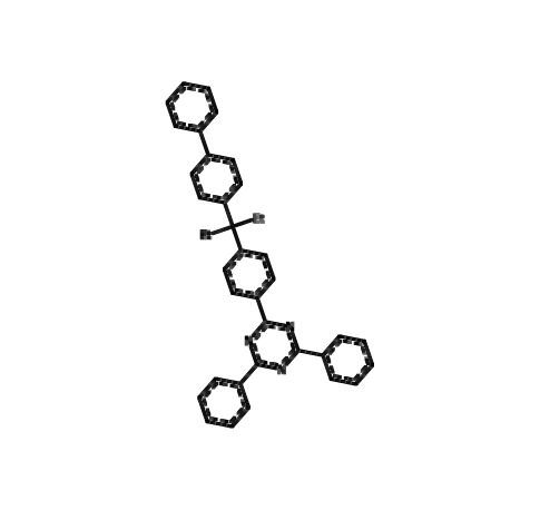 CCC(CC)(c1ccc(-c2ccccc2)cc1)c1ccc(-c2nc(-c3ccccc3)nc(-c3ccccc3)n2)cc1